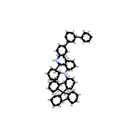 c1ccc(-c2cccc(-c3ccc4nc5c6c(cccc6c4c3)N(c3cccc4c3-c3ccccc3C43c4ccccc4-c4ccccc43)c3ccccc3-5)c2)cc1